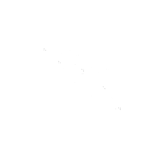 CC(C)C[C@H](NC(=O)c1cc2ccccc2n1C)C(=O)NCC1CN(S(=O)(=O)c2ccccc2C#N)CCO1